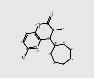 C[C@@H]1C(=O)Nc2ccc(Cl)nc2N1C1CCCCCC1